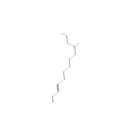 [CH2]CC=CCCCCCC(C)CC[CH2]